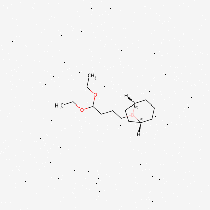 CCOC(CCCB1[C@@H]2CCC[C@H]1CC2)OCC